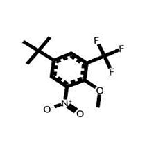 COc1c([N+](=O)[O-])cc(C(C)(C)C)cc1C(F)(F)F